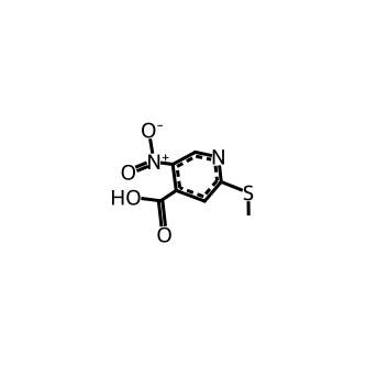 CSc1cc(C(=O)O)c([N+](=O)[O-])cn1